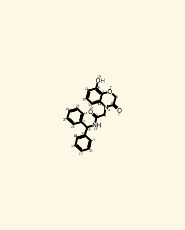 O=C(CN1C(=O)COc2c(O)cccc21)NC(c1ccccc1)c1ccccc1